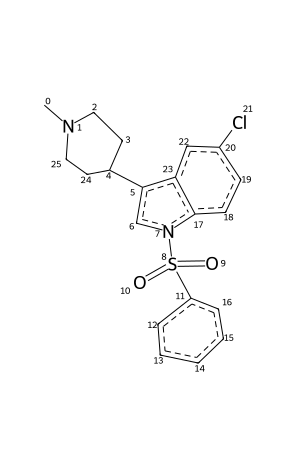 CN1CCC(c2cn(S(=O)(=O)c3ccccc3)c3ccc(Cl)cc23)CC1